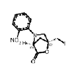 O=C1O[C@@]2(CI)C[C@@H]1N(c1ccccc1[N+](=O)[O-])C2